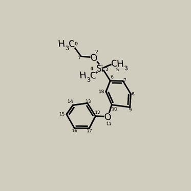 CCO[Si](C)(C)c1cccc(Oc2ccccc2)c1